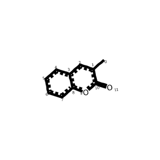 Cc1cc2cc[c]cc2oc1=O